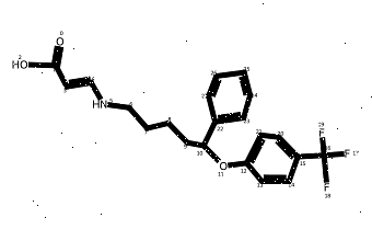 O=C(O)/C=C/NCCCCC(Oc1ccc(C(F)(F)F)cc1)c1ccccc1